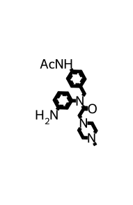 CC(=O)Nc1ccc(CN(C(=O)CN2CCN(C)CC2)c2cccc(N)c2)cc1